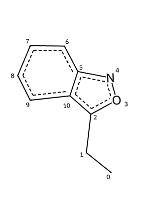 CCc1onc2ccccc12